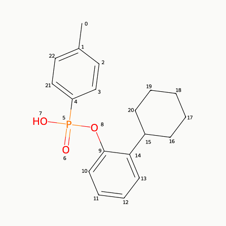 Cc1ccc(P(=O)(O)Oc2ccccc2C2CCCCC2)cc1